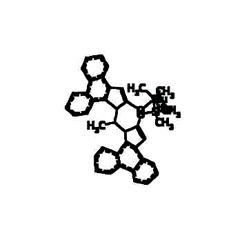 CC(C1C(O[Si](C)(C)C(C)(C)C)=Cc2c1c1ccccc1c1ccccc21)C1C(O[Si](C)(C)C(C)(C)C)=Cc2c1c1ccccc1c1ccccc21